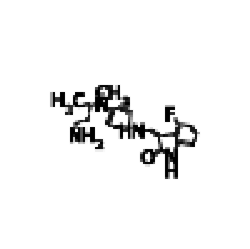 CC(CCN)N(C)c1ccc(NC=C2C(=O)Nc3cccc(F)c32)cc1